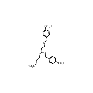 O=C(O)CCCCC(CCSCc1ccc(C(=O)O)cc1)SCc1ccc(C(=O)O)cc1